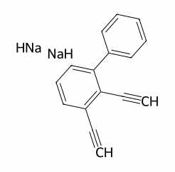 C#Cc1cccc(-c2ccccc2)c1C#C.[NaH].[NaH]